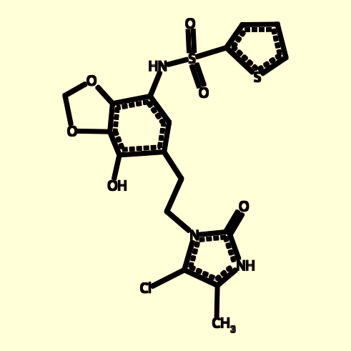 Cc1[nH]c(=O)n(CCc2cc(NS(=O)(=O)c3cccs3)c3c(c2O)OCO3)c1Cl